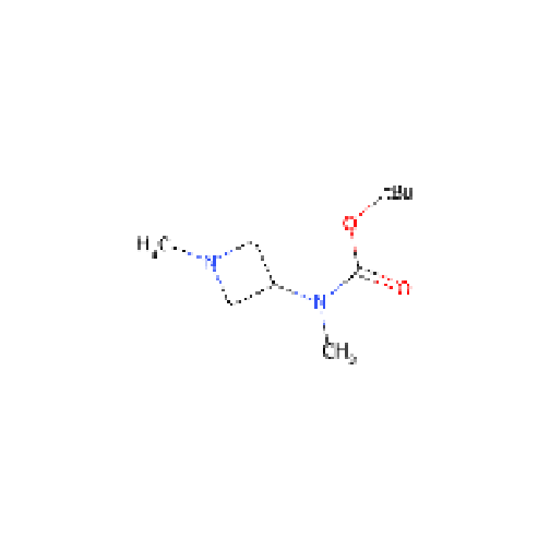 CN1CC(N(C)C(=O)OC(C)(C)C)C1